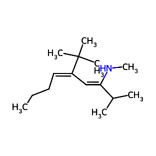 CCC/C=C(\C=C(/NC)C(C)C)C(C)(C)C